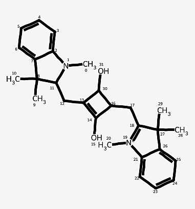 CN1c2ccccc2C(C)(C)C1CC1=C(O)C(CC2=[N+](C)c3ccccc3C2(C)C)C1O